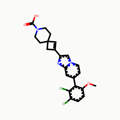 COc1ccc(Cl)c(Cl)c1-c1ccn2cc(C3=CC4(CCN(C(=O)O)CC4)C3)nc2c1